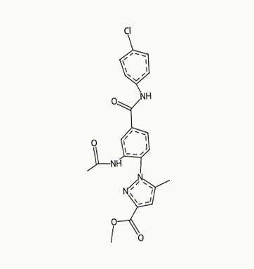 COC(=O)c1cc(C)n(-c2ccc(C(=O)Nc3ccc(Cl)cc3)cc2NC(C)=O)n1